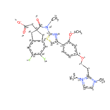 COc1cc(OCCc2n(C)cc[n+]2C)ccc1-c1csc(N(C)C(=O)C2(CC(=O)[O-])Cc3cc(F)c(F)cc3C2)n1